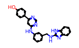 Oc1ccc(-c2cc(Nc3cccc(CNc4nc5ccccc5[nH]4)c3)ncn2)cc1